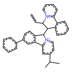 C=CC1C(C2c3ccc(-c4ccccc4)cc3-c3cc(C(C)C)cc[n+]32)c2ccccc2-c2cccc[n+]21